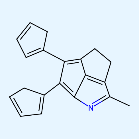 CC1=NC2=C(C3=CC=CC3)C(C3=CC=CC3)=C3CCC1=C32